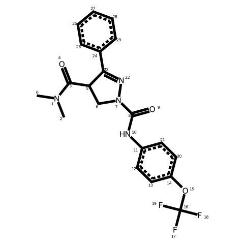 CN(C)C(=O)C1CN(C(=O)Nc2ccc(OC(F)(F)F)cc2)N=C1c1ccccc1